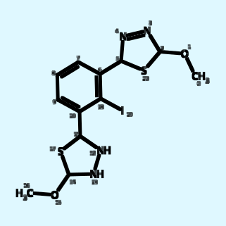 COC1N=NC(c2cccc(C3NNC(OC)S3)c2I)S1